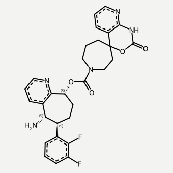 N[C@@H]1c2cccnc2[C@H](OC(=O)N2CCCC3(CC2)OC(=O)Nc2ncccc23)CC[C@H]1c1cccc(F)c1F